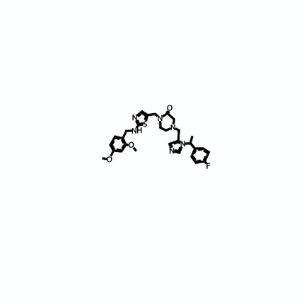 COc1ccc(CNc2ncc(CN3CCN(Cc4cncn4C(C)c4ccc(F)cc4)CC3=O)s2)c(OC)c1